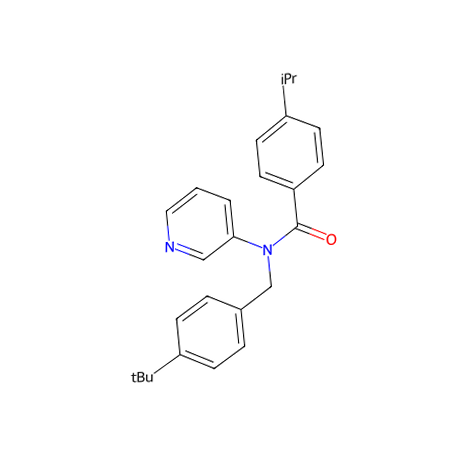 CC(C)c1ccc(C(=O)N(Cc2ccc(C(C)(C)C)cc2)c2cccnc2)cc1